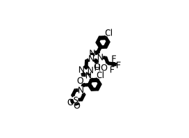 O=C(c1cccc(Cl)c1-n1cnc(Cn2nc(-c3ccc(Cl)cc3)n(CC(O)C(F)(F)F)c2=O)n1)N1CCS(=O)(=O)CC1